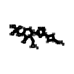 CCN1C(=O)N(OS(=O)(=O)O)CC[C@H]1c1nnc(C2CC(N)C2)o1